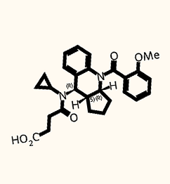 COc1ccccc1C(=O)N1c2ccccc2[C@H](N(C(=O)CCC(=O)O)C2CC2)[C@H]2CCC[C@H]21